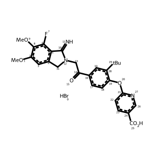 Br.COc1cc2c(c(F)c1OC)C(=N)N(CC(=O)c1ccc(Oc3ccc(C(=O)O)cn3)c(C(C)(C)C)c1)C2